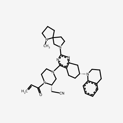 C=CC(=O)N1CCN(c2nc(N3CCC4(CCCN4C)C3)nc3c2CC[C@@H](N2CCCc4ccccc42)C3)C[C@@H]1CC#N